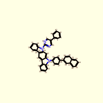 c1ccc(-c2cnc(-n3c4ccccc4c4cc5c6ccccc6n(-c6ccc(-c7ccc8ccccc8c7)cc6)c5cc43)nc2)cc1